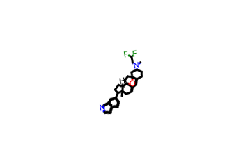 CN(CC(F)F)C1CCC2=CC3=CCC4(C)C(c5ccc6ccncc6c5)CC[C@H]4[C@@]34CCC2(C1)O4